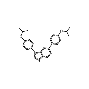 CC(C)Oc1ccc(-c2cc3c(cn2)ncn3-c2ccc(OC(C)C)cc2)cc1